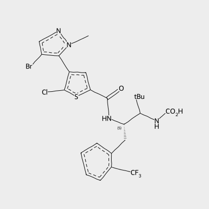 Cn1ncc(Br)c1-c1cc(C(=O)N[C@@H](Cc2ccccc2C(F)(F)F)C(NC(=O)O)C(C)(C)C)sc1Cl